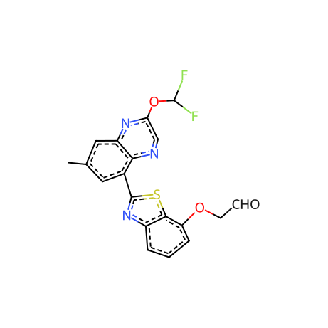 Cc1cc(-c2nc3cccc(OCC=O)c3s2)c2ncc(OC(F)F)nc2c1